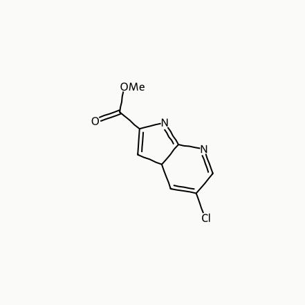 COC(=O)C1=CC2C=C(Cl)C=NC2=N1